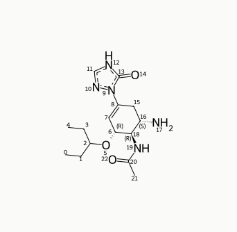 CCC(CC)O[C@@H]1C=C(n2nc[nH]c2=O)C[C@H](N)[C@H]1NC(C)=O